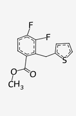 COC(=O)c1ccc(F)c(F)c1Cc1cccs1